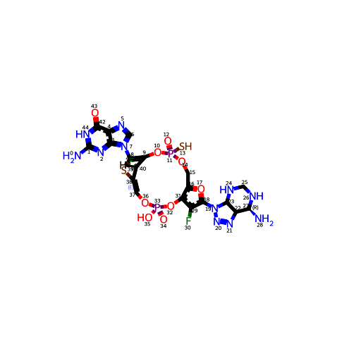 Nc1nc2c(ncn2C2=C3OP(=O)(S)OCc4oc(N5N=NC6C5NCN[C@H]6N)c(F)c4OP(=O)(O)O/C=C(/S2)[C@@H]3F)c(=O)[nH]1